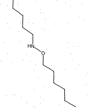 CCCCCCONCCCCC